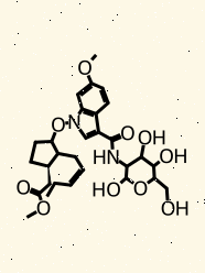 CC/C=C\CC1C(On2cc(C(=O)NC3C(O)OC(CO)C(O)C3O)c3ccc(OC)cc32)CC[C@@H]1CC(=O)OC